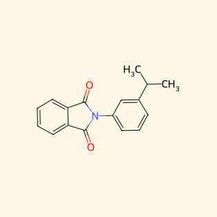 CC(C)c1cccc(N2C(=O)c3ccccc3C2=O)c1